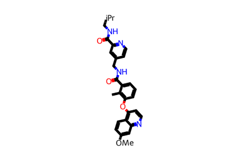 COc1ccc2c(Oc3cccc(C(=O)NCc4ccnc(C(=O)NCC(C)C)c4)c3C)ccnc2c1